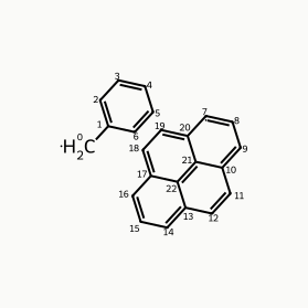 [CH2]c1ccccc1.[c]1ccc2ccc3cccc4ccc1c2c43